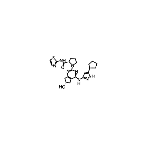 O=C(Nc1nccs1)[C@H]1CCCN1c1nc2c(c(Nc3cc(C4CCCC4)[nH]n3)n1)C[C@H](O)C2